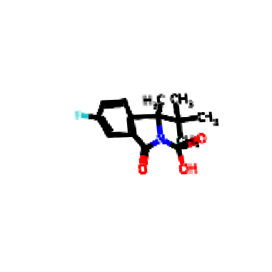 CC(C)(C)C1(C)c2ccc(F)cc2C(=O)N1C(=O)O